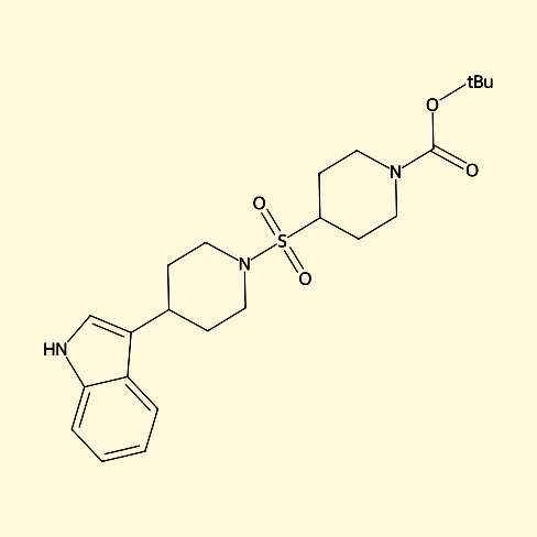 CC(C)(C)OC(=O)N1CCC(S(=O)(=O)N2CCC(c3c[nH]c4ccccc34)CC2)CC1